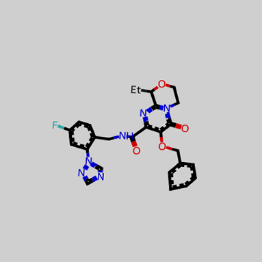 CCC1OCCn2c1nc(C(=O)NCc1ccc(F)cc1-n1cncn1)c(OCc1ccccc1)c2=O